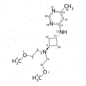 COCCN(CCOC)[C@H]1C[C@H](Nc2cc(C)ncn2)C1